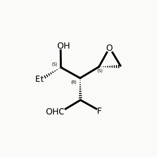 CC[C@H](O)[C@@H](C(F)C=O)[C@H]1CO1